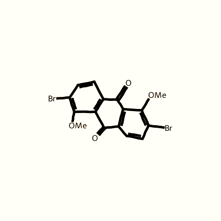 COc1c(Br)ccc2c1C(=O)c1ccc(Br)c(OC)c1C2=O